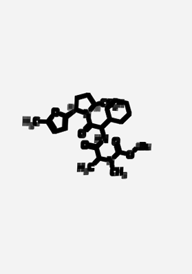 Cc1ccc([C@H]2CC[C@@H](C(=O)O)N2C(=O)C(NC(=O)C(C)N(C)C(=O)OC(C)(C)C)C2CCCCC2)o1